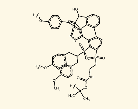 COc1ccc(CN(Cc2ccc(OC)cc2)S(=O)(=O)c2c(S(=O)(=O)CCNC(=O)OC(C)(C)C)ccc(-c3cccc4c3NC(=O)C4O)c2-c2nnn(Cc3ccc(OC)cc3)n2)cc1